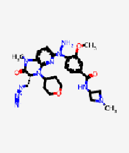 COc1cc(C(=O)NC2CN(C)C2)ccc1N(N)c1ccc2c(n1)N(C1CCOCC1)[C@H](CN=[N+]=[N-])C(=O)N2C